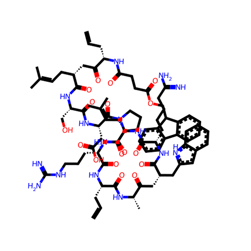 C=CC[C@H](NC(=O)CCC(=O)OCC1c2ccccc2-c2ccccc21)C(=O)C[C@@H](CC=C(C)C)C(=O)N[C@@H](CO)C(=O)N[C@@H](CC(=O)O)C(=O)N1CCCC1C(=O)N[C@@H](CCCNC(=N)N)C(=O)N[C@@H](CC=C)C(=O)N[C@@H](C)C(=O)C[C@@H](Cc1cc2ccccc2[nH]1)C(=O)N[C@@H](CCCCC(=N)N)C(=O)N[C@@H](CC=C(C)C)C(N)=O